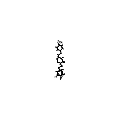 CCCCC1CCC(CCC2CCC(CCc3cc(F)c(F)c(F)c3)CC2)CC1